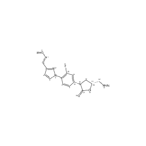 CON=Cc1ccn(-c2ccc(N3C[C@H](CNC(C)=O)OC3=O)cc2F)n1